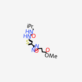 COC(=O)CCc1nc(-c2csc(NC(=O)NCC(C)C)c2)no1